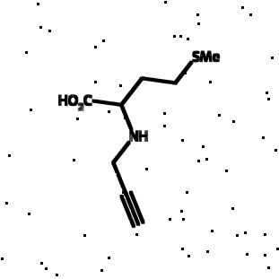 C#CCNC(CCSC)C(=O)O